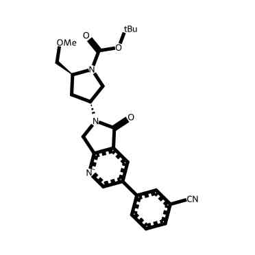 COC[C@@H]1C[C@@H](N2Cc3ncc(-c4cccc(C#N)c4)cc3C2=O)CN1C(=O)OC(C)(C)C